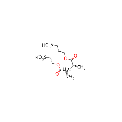 C=C(C)C(=O)OCCCS(=O)(=O)O.C=CC(=O)OCCS(=O)(=O)O